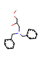 CCC(C)OCC(O)CN(Cc1ccccc1)Cc1ccccc1